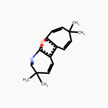 CC1(C)C=Cc2oc3c(c2C=C1)C=CC(C)(C)C=N3